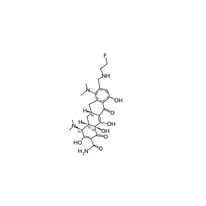 CN(C)c1c(CNCCF)cc(O)c2c1C[C@H]1C[C@H]3[C@H](N(C)C)C(O)=C(C(N)=O)C(=O)[C@@]3(O)C(O)=C1C2=O